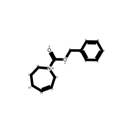 O=C(OCc1ccccc1)N1CC=CCCC1